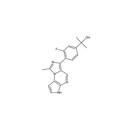 Cc1nc(-c2ccc(C(C)(C)O)cc2F)c2cnc3[nH]ccc3n12